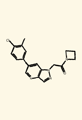 Cc1cc(-c2cnc3cnn(CC(=O)N4CCC4)c3c2)ccc1Cl